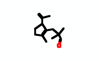 C=C(C)C1CCC(C)=C1CC(C)(C)C=O